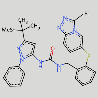 CSC(C)(C)c1cc(NC(=O)NCc2ccccc2Sc2ccc3nnc(C(C)C)n3c2)n(-c2ccccc2)n1